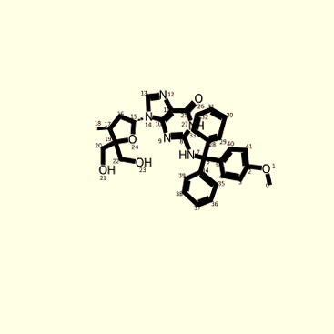 COc1ccc(C(Nc2nc3c(ncn3[C@H]3C[C@H](C)C(CO)(CO)O3)c(=O)[nH]2)(c2ccccc2)c2ccccc2)cc1